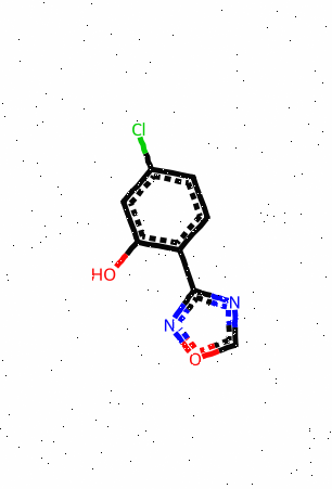 Oc1cc(Cl)ccc1-c1ncon1